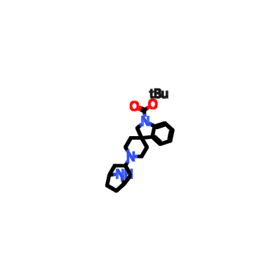 CC(C)(C)OC(=O)N1CC2(CCN(C3CC4CCC(C3)N4)CC2)c2ccccc21